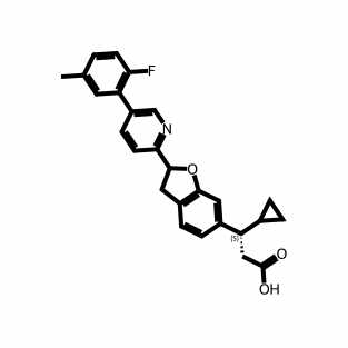 Cc1ccc(F)c(-c2ccc(C3Cc4ccc([C@@H](CC(=O)O)C5CC5)cc4O3)nc2)c1